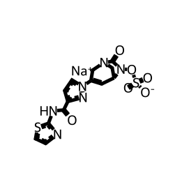 O=C(Nc1nccs1)c1ccn(C2=CC3CN(C2)C(=O)N3OS(=O)(=O)[O-])n1.[Na+]